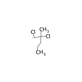 CCCC(C)(Cl)[CH]Cl